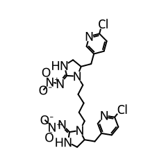 O=[N+]([O-])N=C1NCC(Cc2ccc(Cl)nc2)N1CCCCCN1C(=N[N+](=O)[O-])NCC1Cc1ccc(Cl)nc1